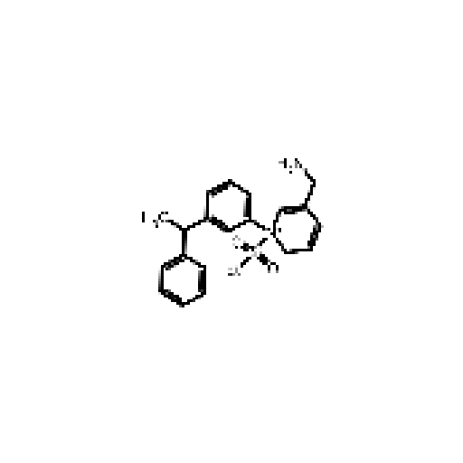 CCS(=O)(=O)[N+]1(c2cccc(C(C)c3ccccc3)c2)C=C(CN)C=CC1